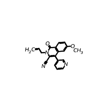 C=CCn1c(C#N)c(-c2cccnc2)c2cc(OC)ccc2c1=O